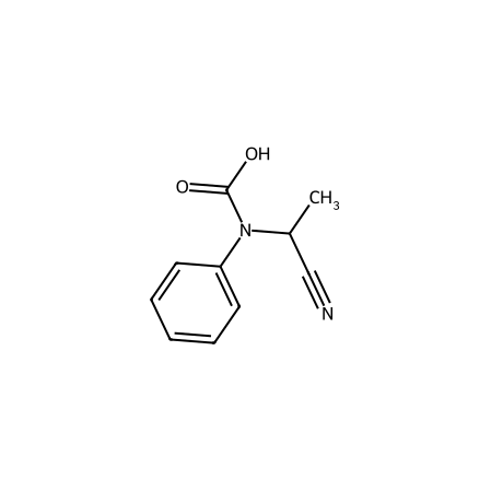 CC(C#N)N(C(=O)O)c1ccccc1